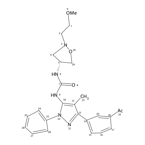 COCCN1C[C@@H](NC(=O)Nc2c(C)c(-c3cccc(C(C)=O)c3)nn2-c2ccccc2)CO1